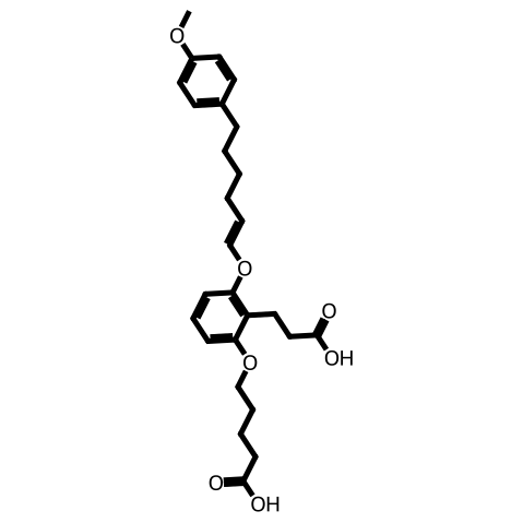 COc1ccc(CCCCC=COc2cccc(OCCCCC(=O)O)c2CCC(=O)O)cc1